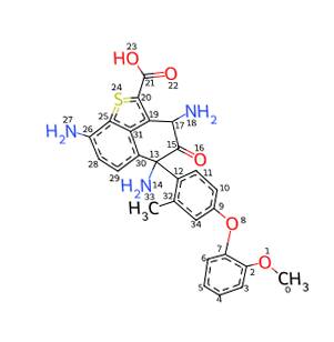 COc1ccccc1Oc1ccc(C2(N)C(=O)C(N)c3c(C(=O)O)sc4c(N)ccc2c34)c(C)c1